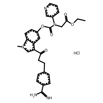 CCOC(=O)CN(C(=O)Oc1ccc2c(c1)c(C(=O)CCc1ccc(C(=N)N)cc1)cn2C)c1cccnc1.Cl